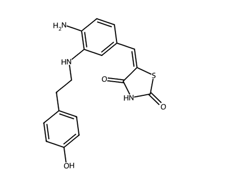 Nc1ccc(/C=C2/SC(=O)NC2=O)cc1NCCc1ccc(O)cc1